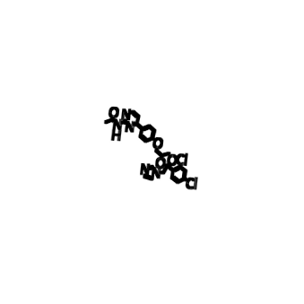 CC(=O)Nc1nccc(-c2ccc(OCC3COC(Cn4ccnc4)(c4ccc(Cl)cc4Cl)O3)cc2)n1